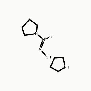 C1CCNC1.[O-][N+](=NO)N1CCCC1